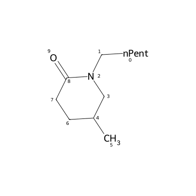 CCCCCCN1CC(C)CCC1=O